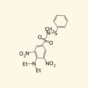 CCN(CC)c1c([N+](=O)[O-])cc(S(=O)(=O)N(C)Sc2ccccc2)cc1[N+](=O)[O-]